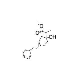 CCOC(=O)C(C)C1(O)CCN(CCc2ccccc2)CC1